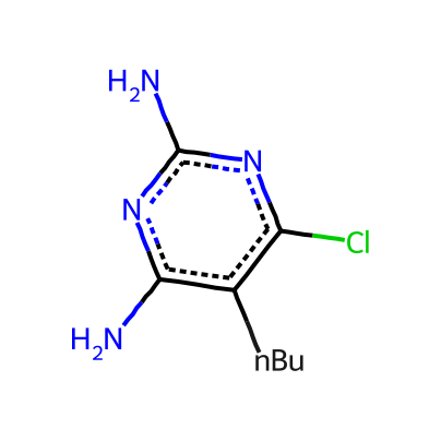 CCCCc1c(N)nc(N)nc1Cl